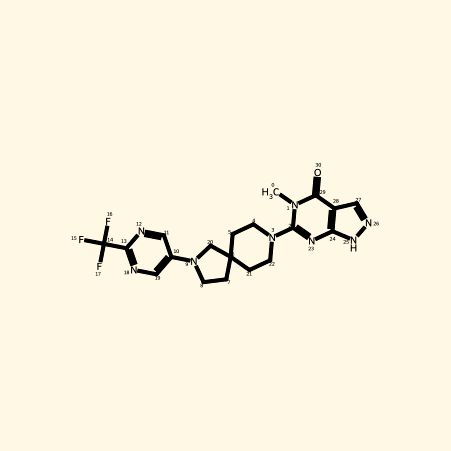 Cn1c(N2CCC3(CCN(c4cnc(C(F)(F)F)nc4)C3)CC2)nc2[nH]ncc2c1=O